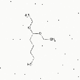 BCOC(CCCCO)OCC